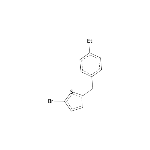 CCc1ccc(Cc2ccc(Br)s2)cc1